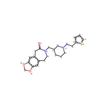 O=C1Cc2cc3c(cc2CCN1CC1CCCN(CCc2cccs2)C1)OCO3